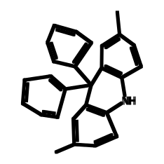 Cc1ccc2c(c1)C(c1ccccc1)(c1ccccc1)c1cc(C)ccc1N2